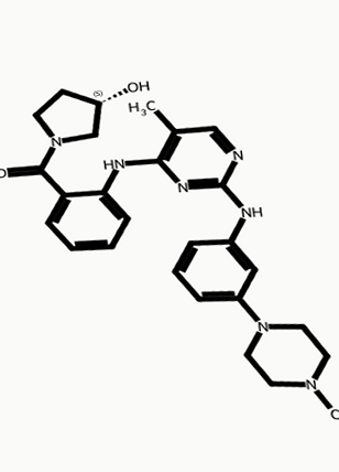 Cc1cnc(Nc2cccc(N3CCN(C)CC3)c2)nc1Nc1ccccc1C(=O)N1CC[C@H](O)C1